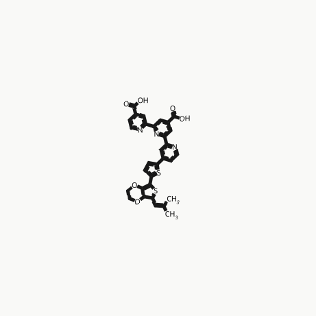 CC(C)=CC1SC(c2ccc(-c3ccnc(-c4cc(C(=O)O)cc(-c5cc(C(=O)O)ccn5)n4)c3)s2)=C2OCCOC21